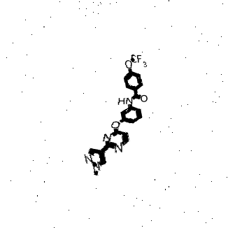 Cn1cc(-c2nccc(Oc3cccc(NC(=O)c4ccc(OC(F)(F)F)cc4)c3)n2)cn1